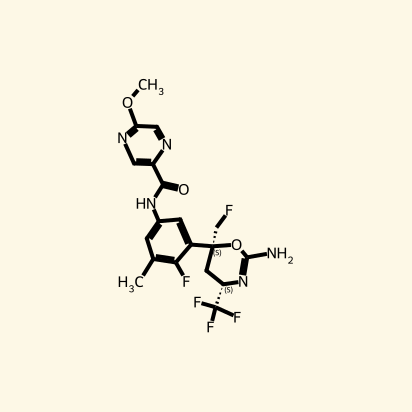 COc1cnc(C(=O)Nc2cc(C)c(F)c([C@]3(CF)C[C@@H](C(F)(F)F)N=C(N)O3)c2)cn1